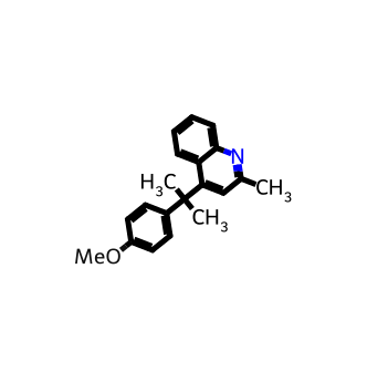 COc1ccc(C(C)(C)c2cc(C)nc3ccccc23)cc1